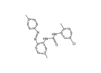 Cc1ccc(/N=N/c2ccc(C)cc2NC(=O)Nc2cc(Cl)ccc2C)cc1